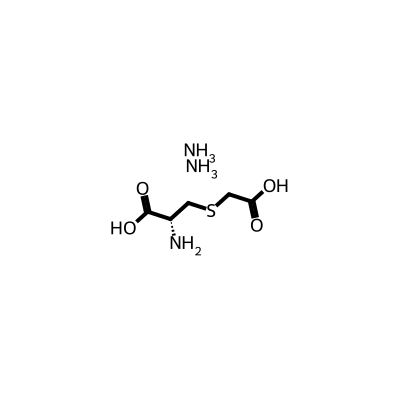 N.N.N[C@@H](CSCC(=O)O)C(=O)O